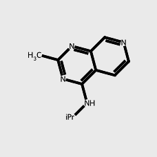 Cc1nc(NC(C)C)c2ccncc2n1